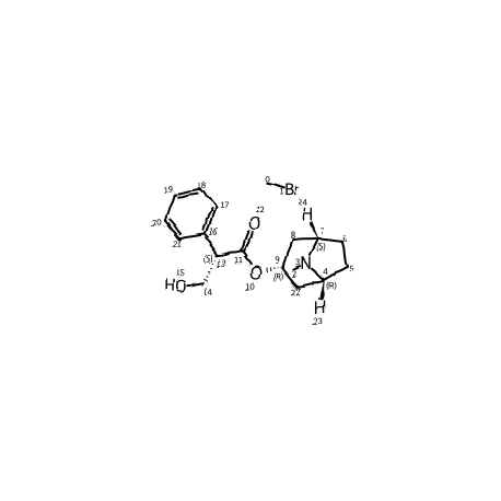 CBr.CN1[C@@H]2CC[C@H]1C[C@@H](OC(=O)[C@H](CO)c1ccccc1)C2